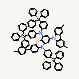 Cc1ccc(-c2ccc3c(c2)B2c4cc([Si](c5ccccc5)(c5ccccc5)c5ccccc5)ccc4N(c4cccc([Si](c5ccccc5)(c5ccccc5)c5ccccc5)c4)c4cc(-n5c6ccc(C)cc6c6cc(C)ccc65)cc(c42)N3c2ccc([Si](c3ccccc3)(c3ccccc3)c3ccccc3)cc2)cc1